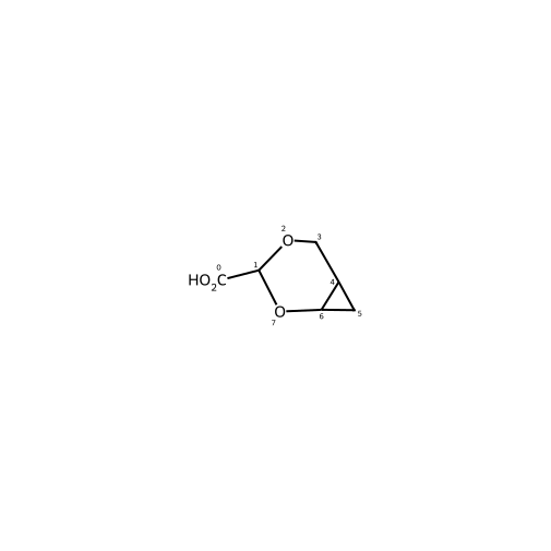 O=C(O)C1OCC2CC2O1